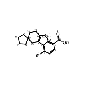 O=C(O)c1ccc(Br)c2c3c([nH]c12)CCC1(CCCC1)C3